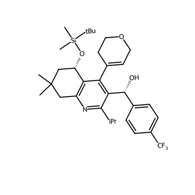 CC(C)c1nc2c(c(C3=CCOCC3)c1[C@H](O)c1ccc(C(F)(F)F)cc1)[C@@H](O[Si](C)(C)C(C)(C)C)CC(C)(C)C2